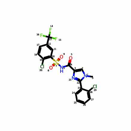 Cn1cc(C(=O)NS(=O)(=O)c2cc(C(F)(F)F)ccc2Cl)nc1-c1ccccc1Cl